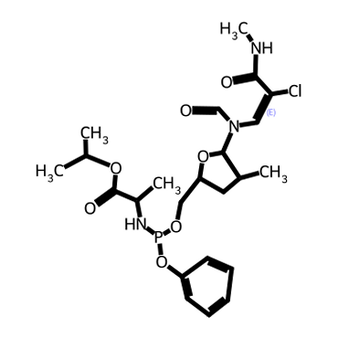 CNC(=O)/C(Cl)=C\N(C=O)C1OC(COP(NC(C)C(=O)OC(C)C)Oc2ccccc2)CC1C